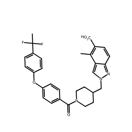 Cc1c(C(=O)O)ccc2nn(CC3CCN(C(=O)c4ccc(Oc5ccc(C(C)(F)F)cc5)cc4)CC3)cc12